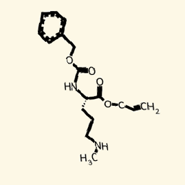 C=CCOC(=O)[C@H](CCCNC)NC(=O)OCc1ccccc1